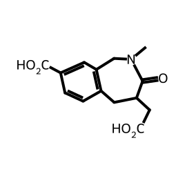 CN1Cc2cc(C(=O)O)ccc2CC(CC(=O)O)C1=O